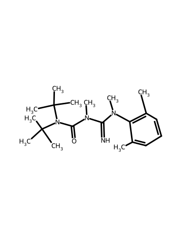 Cc1cccc(C)c1N(C)C(=N)N(C)C(=O)N(C(C)(C)C)C(C)(C)C